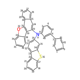 c1ccc(-c2cccc(N(c3ccc4c(c3)sc3ccccc34)c3cc4ccccc4c4oc5ccccc5c34)c2)cc1